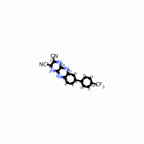 N#Cc1nc2nc3ccc(-c4ccc(C(F)(F)F)cc4)cc3nc2nc1C#N